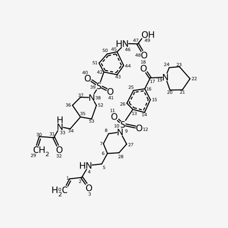 C=CC(=O)NCC1CCN(S(=O)(=O)c2ccc(C(=O)N3CCCCC3)cc2)CC1.C=CC(=O)NCC1CCN(S(=O)(=O)c2ccc(NC(=O)O)cc2)CC1